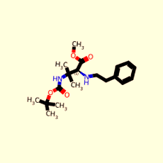 COC(=O)[C@@H](NCCc1ccccc1)C(C)(C)NC(=O)OC(C)(C)C